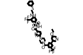 CCOc1cncc(-c2cc(C(=O)N3CCN(c4ccc(C(=O)NS(=O)(=O)c5ccc(NCCSc6ccccc6)c(C(F)(F)F)c5)nn4)CC3)cc(C(F)(F)F)c2)c1